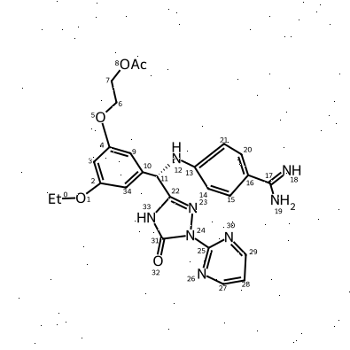 CCOc1cc(OCCOC(C)=O)cc([C@H](Nc2ccc(C(=N)N)cc2)c2nn(-c3ncccn3)c(=O)[nH]2)c1